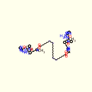 C[C@H](NC(=O)c1c(N)nn2cccnc12)c1cc2cccc(C#Cc3cc(COC(=O)CCCCCCC/C=C\C/C=C\CCCCCCCCCC/C=C\C/C=C\CCCCCCCC(=O)OCC4(C(=O)n5cc(C#Cc6cccc7cc([C@H](C)NC(=O)c8c(N)nn9cccnc89)n(-c8ccccc8)c(=O)c67)nn5)CC4)n(C)c3)c2c(=O)n1-c1ccccc1